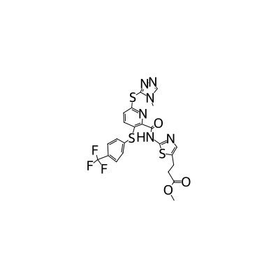 COC(=O)CCc1cnc(NC(=O)c2nc(Sc3nncn3C)ccc2Sc2ccc(C(F)(F)F)cc2)s1